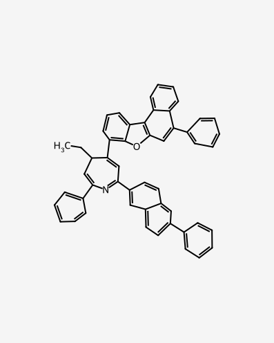 CCC1C=C(c2ccccc2)N=C(c2ccc3cc(-c4ccccc4)ccc3c2)C=C1c1cccc2c1oc1cc(-c3ccccc3)c3ccccc3c12